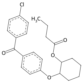 CCCC(=O)OC1CCCCC1Oc1ccc(C(=O)c2ccc(Cl)cc2)cc1